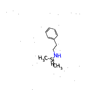 C[SiH](C)NCCc1ccccc1